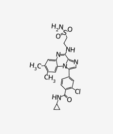 Cc1cc2nc(NCCS(N)(=O)=O)c3ncc(-c4ccc(C(=O)NC5CC5)c(Cl)c4)n3c2cc1C